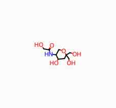 O=C(CO)NC1COC(CO)(CO)CC1O